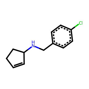 Clc1ccc(CNC2C=CCC2)cc1